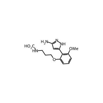 COc1cccc(OCCCNC(=O)O)c1-c1cc(N)n[nH]1